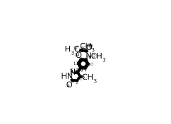 CC1CC(=O)NN=C1c1ccc2c(c1)OC(C)(C)C(=O)N2C